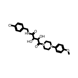 COc1ccc(N2CCN(C(=O)C(O)C(O)C(=O)NCc3ccc(Cl)cc3)CC2)cc1